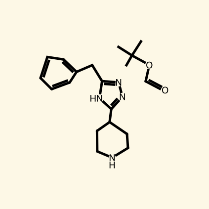 CC(C)(C)OC=O.c1ccc(Cc2nnc(C3CCNCC3)[nH]2)cc1